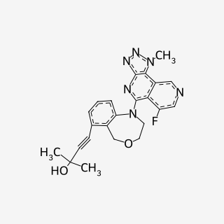 Cn1nnc2nc(N3CCOCc4c(C#CC(C)(C)O)cccc43)c3c(F)cncc3c21